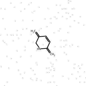 C=C1C=CC(=C)NC1